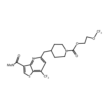 CNC(=O)c1csc2c(C(F)(F)F)cc(CC3CCN(C(=O)OCCOC(F)(F)F)CC3)nc12